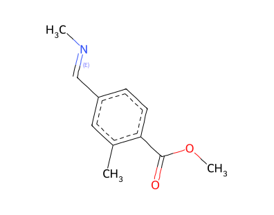 C/N=C/c1ccc(C(=O)OC)c(C)c1